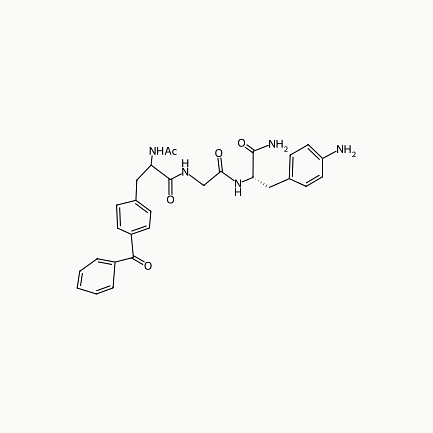 CC(=O)NC(Cc1ccc(C(=O)c2ccccc2)cc1)C(=O)NCC(=O)N[C@@H](Cc1ccc(N)cc1)C(N)=O